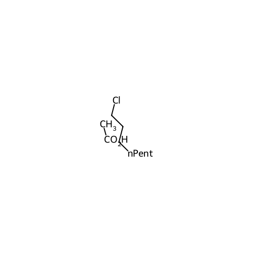 CC(=O)O.CCCCCCCCCl